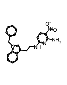 Nc1nc(NCCc2cn(Cc3ccccc3)c3ccccc23)ccc1[N+](=O)[O-]